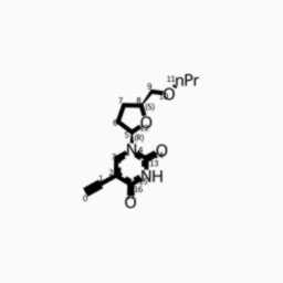 C#Cc1cn([C@H]2CC[C@@H](COCCC)O2)c(=O)[nH]c1=O